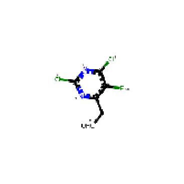 O=CCc1nc(Cl)nc(Cl)c1F